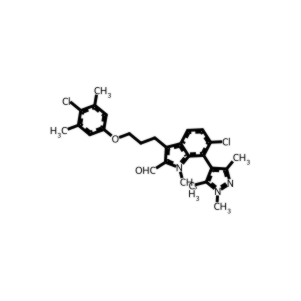 Cc1cc(OCCCc2c(C=O)n(C)c3c(-c4c(C)nn(C)c4C)c(Cl)ccc23)cc(C)c1Cl